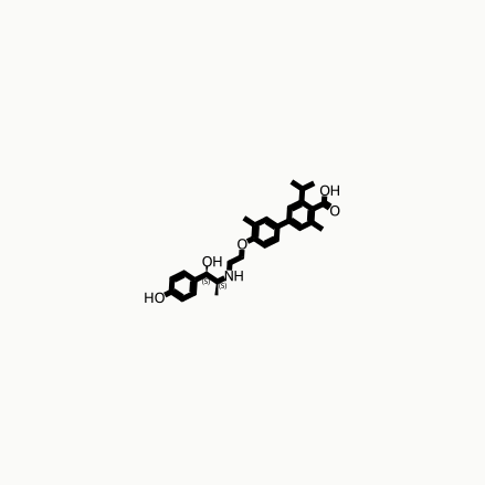 Cc1cc(-c2cc(C)c(C(=O)O)c(C(C)C)c2)ccc1OCCN[C@@H](C)[C@@H](O)c1ccc(O)cc1